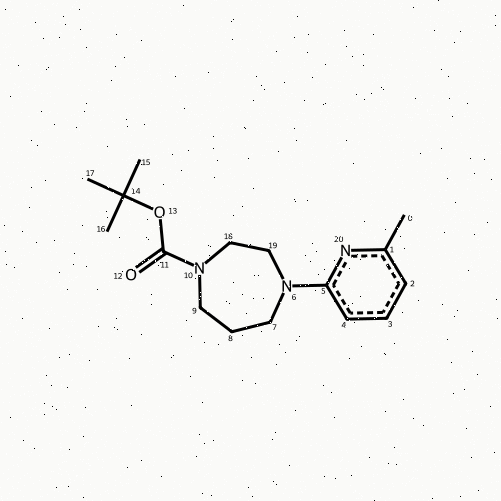 Cc1cccc(N2CCCN(C(=O)OC(C)(C)C)CC2)n1